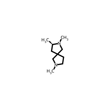 C[C@@H]1CC2(CCN(C)C2)CN1C